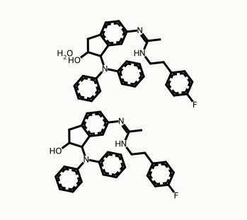 CC(=Nc1ccc2c(c1)C(N(c1ccccc1)c1ccccc1)C(O)C2)NCCc1ccc(F)cc1.CC(=Nc1ccc2c(c1)C(N(c1ccccc1)c1ccccc1)C(O)C2)NCCc1ccc(F)cc1.O